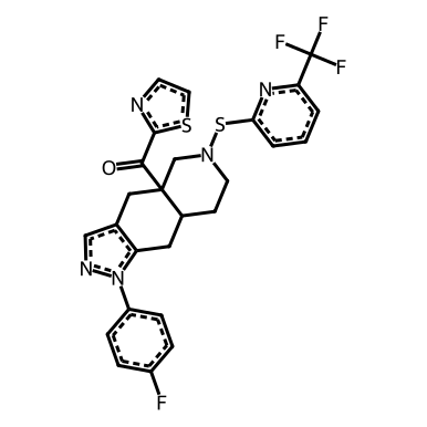 O=C(c1nccs1)C12Cc3cnn(-c4ccc(F)cc4)c3CC1CCN(Sc1cccc(C(F)(F)F)n1)C2